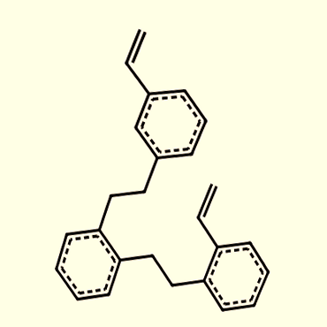 C=Cc1cccc(CCc2ccccc2CCc2ccccc2C=C)c1